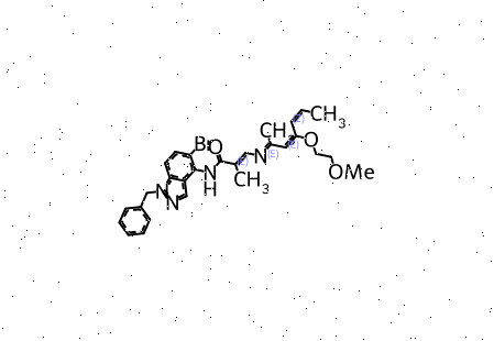 C\C=C/C(=C\C(C)=N\C=C(/C)C(=O)Nc1c(Br)ccc2c1cnn2Cc1ccccc1)OCCOC